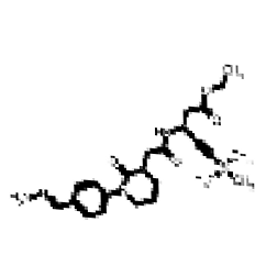 CCOC(=O)C[C@@H](C#C[Si](C)(C)C)NC(=O)CC1CCCN(c2ccc(C=NN)cc2)C1=O